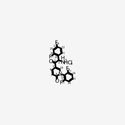 Cl.NC(C(=O)c1ccc(=O)n(-c2c(F)cccc2F)c1)c1ccc(F)cc1F